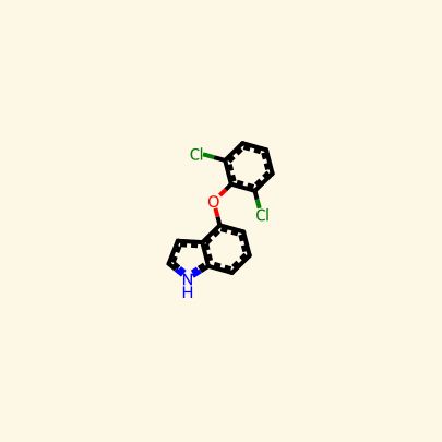 Clc1cccc(Cl)c1Oc1cccc2[nH]ccc12